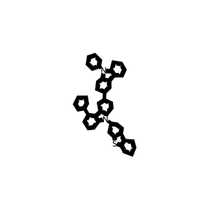 c1ccc(-c2cccc3c2c2cc(-c4ccc5c(c4)c4ccccc4n5-c4ccccc4)ccc2n3-c2ccc3c(c2)sc2ccccc23)cc1